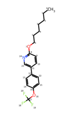 CCCCCCCOc1ccc(-c2ccc(OC(F)(F)F)cc2)cn1